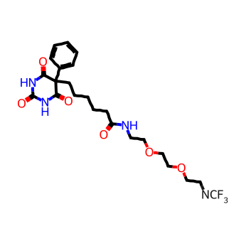 O=C(CCCCCC1(c2ccccc2)C(=O)NC(=O)NC1=O)NCCOCCOCCNC(F)(F)F